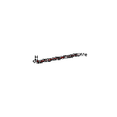 COCCOCCOCCOCCOCCOCCOCCOCCCOCCOCCOCCOCCOCCOCCOCCOCCOCCOCCOCCOCCCOCCOCCOCCOCCOCCOCCOCCOCCOCCOCCS(=O)(=O)CCC(C)(C)NCl